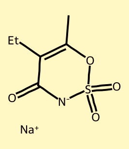 CCC1=C(C)OS(=O)(=O)[N-]C1=O.[Na+]